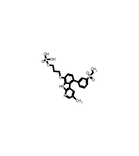 CCS(=O)(=O)c1cccc(-c2ccc(OCCCOP(=O)(O)O)c3[nH]c4ncc(C)cc4c23)c1